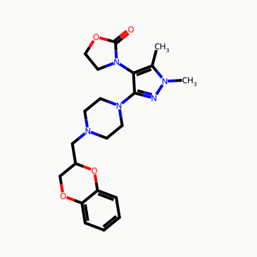 Cc1c(N2CCOC2=O)c(N2CCN(CC3COc4ccccc4O3)CC2)nn1C